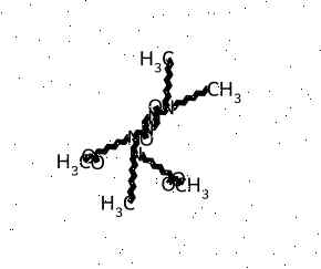 CCCCCCCCCN(CCCCCCCC(=O)OC)CCN(CCCCCCCC(=O)OC)CC(=O)N1CCN(C(=O)CN(CCCCCCCCC)CCCCCCCCC)CC1